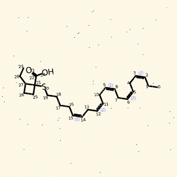 CC/C=C\C/C=C\C/C=C\C/C=C\C/C=C\CCCCSC1(C(=O)O)CCC1CC